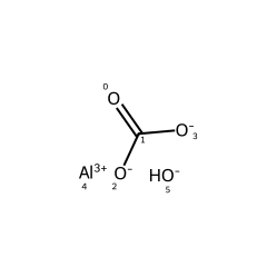 O=C([O-])[O-].[Al+3].[OH-]